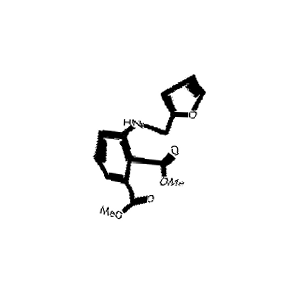 COC(=O)c1cccc(NCc2ccco2)c1C(=O)OC